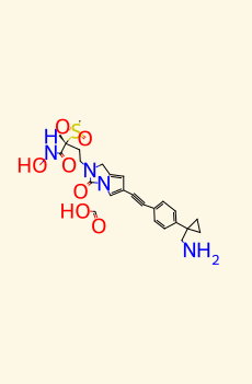 C[C@@](CCN1Cc2cc(C#Cc3ccc(C4(CN)CC4)cc3)cn2C1=O)(C(=O)NO)S(C)(=O)=O.O=CO